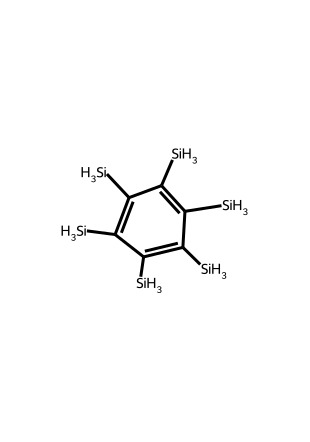 [SiH3]c1c([SiH3])c([SiH3])c([SiH3])c([SiH3])c1[SiH3]